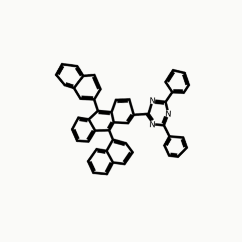 c1ccc(-c2nc(-c3ccccc3)nc(-c3ccc4c(-c5ccc6ccccc6c5)c5ccccc5c(-c5cccc6ccccc56)c4c3)n2)cc1